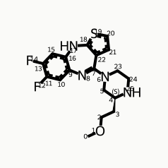 COCC[C@H]1CN(C2=Nc3cc(F)c(F)cc3Nc3sccc32)CCN1